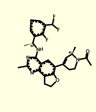 CC(=O)N1CCC(c2cc3c(N[C@H](C)c4cccc(C(F)F)c4F)nc(C)nc3c3c2OCC3)=C[C@H]1C